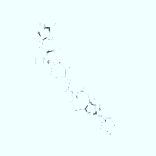 Cc1ncc(CC(=O)N[C@H]2CC[C@H](CCN3CCc4nc(N5CCCC5)sc4CC3)CC2)s1